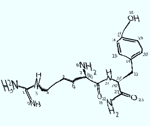 N=C(N)NCCC[C@@H](N)C(=O)N[C@@H](Cc1ccc(O)cc1)C(N)=O